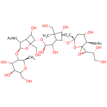 CC(=O)NC1C2C(O)[C@H](O[C@H](O)C(O)C3[C@@H](O[C@]4(C(=O)O)CC(O)[C@@H](NC(C)=O)C5(O[C@@H]5[C@H](O)CO)O4)[C@@H](O)C3(C)CO)C2(CO)O[C@H]1OC1C(O)[C@H](O)C(CO)O[C@@H]1C